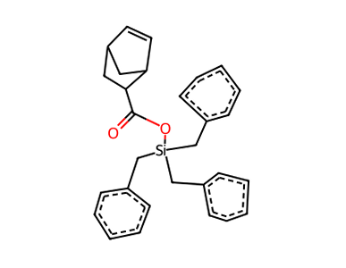 O=C(O[Si](Cc1ccccc1)(Cc1ccccc1)Cc1ccccc1)C1CC2C=CC1C2